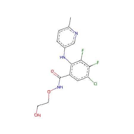 Cc1ccc(Nc2c(C(=O)NOCCO)cc(Cl)c(F)c2F)cn1